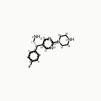 NC[C@@H](c1ccc(F)cc1)c1cnc(N2CCNCC2)nc1